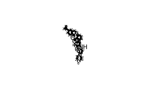 CN1CCN(c2ccc(Nc3cc(-c4cccc(N5CCc6cc(C7CC7)ccc6C5=O)c4CO)cn(C)c3=O)nc2)CC1